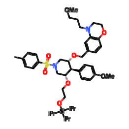 COCCCN1CCOc2ccc(CO[C@H]3CN(S(=O)(=O)c4ccc(C)cc4)C[C@@H](OCCO[Si](C(C)C)(C(C)C)C(C)C)[C@@H]3c3ccc(OC)cc3)cc21